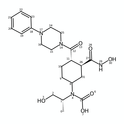 C[C@H](CO)N(C(=O)O)C1CC[C@H](C(=O)N2CCN(c3ccccc3)CC2)[C@@H](C(=O)NO)C1